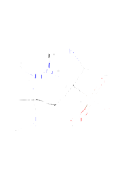 CNC(C)(CC(CN)(NC)S(=O)(=O)O)NC